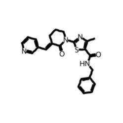 Cc1nc(N2CCC/C(=C\c3cccnc3)C2=O)sc1C(=O)NCc1ccccc1